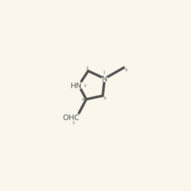 CN1CNC(C=O)C1